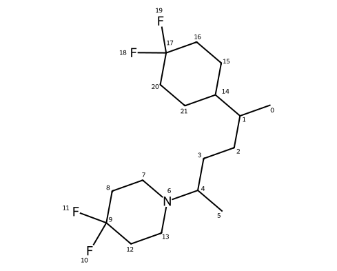 CC(CCC(C)N1CCC(F)(F)CC1)C1CCC(F)(F)CC1